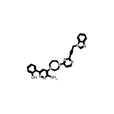 Nc1nnc(-c2ccccc2O)cc1N1CCCN(c2ccnc(C#CCn3cnc4ccccc43)n2)CC1